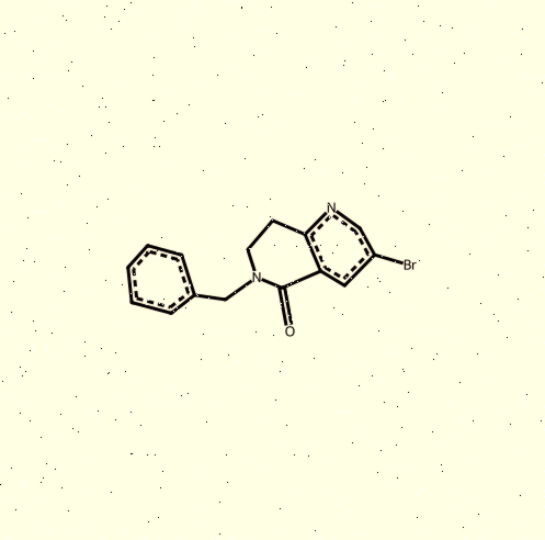 O=C1c2cc(Br)cnc2CCN1Cc1ccccc1